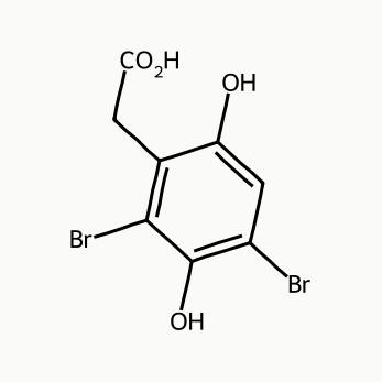 O=C(O)Cc1c(O)cc(Br)c(O)c1Br